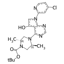 C[C@@H]1CN(c2ncnc3c2c(O)cn3-c2cc(Cl)ccn2)[C@@H](C)CN1C(=O)OC(C)(C)C